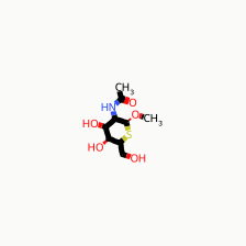 CO[C@@H]1SC(CO)[C@@H](O)C(O)C1NC(C)=O